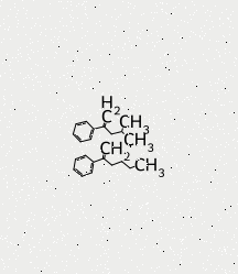 C=C(CC(C)C)c1ccccc1.C=C(CCCC)c1ccccc1